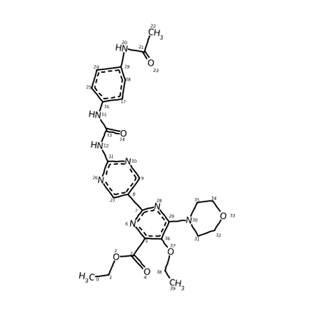 CCOC(=O)c1nc(-c2cnc(NC(=O)Nc3ccc(NC(C)=O)cc3)nc2)nc(N2CCOCC2)c1OCC